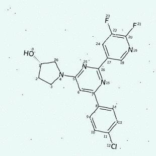 O[C@H]1CCN(c2cc(-c3ccc(Cl)cc3)nc(-c3cnc(F)c(F)c3)n2)C1